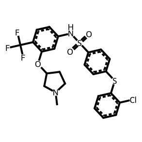 CN1CCC(Oc2cc(NS(=O)(=O)c3ccc(Sc4ccccc4Cl)cc3)ccc2C(F)(F)F)C1